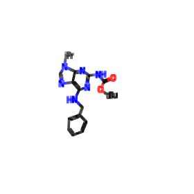 CC(C)n1cnc2c(NCc3ccccc3)nc(NC(=O)OC(C)(C)C)nc21